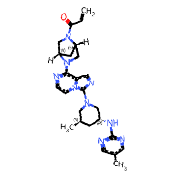 C=CC(=O)N1C[C@@H]2C[C@H]1CN2c1nccn2c(N3C[C@H](C)C[C@@H](Nc4ncc(C)cn4)C3)ncc12